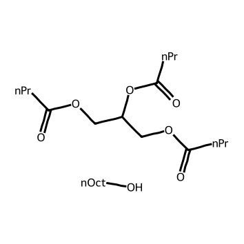 CCCC(=O)OCC(COC(=O)CCC)OC(=O)CCC.CCCCCCCCO